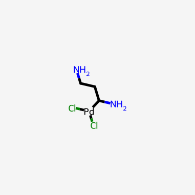 NCC[CH](N)[Pd]([Cl])[Cl]